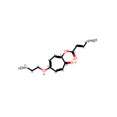 CCCCCCCC=CC(=O)Oc1ccc(OCCCCCCCCCCCC)ccc1=O